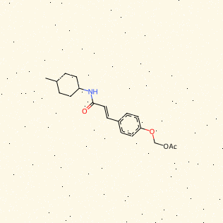 CC(=O)OCOc1ccc(C=CC(=O)NC2CCC(C)CC2)cc1